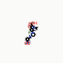 Cc1c(N2CCCC[C@@H](/N=C/c3cccc([N+](=O)[O-])c3)C2)c(F)cc2c(=O)c(C(=O)O)cn(C3CC3)c12